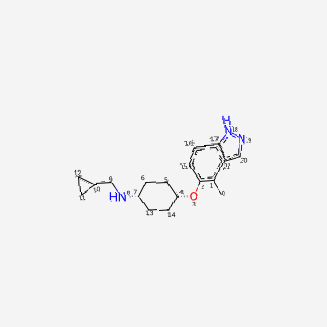 Cc1c(O[C@H]2CC[C@@H](NCC3CC3)CC2)ccc2[nH]ncc12